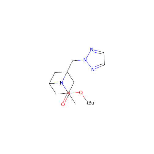 CC1CC2CC(Cn3nccn3)(C1)N2C(=O)OC(C)(C)C